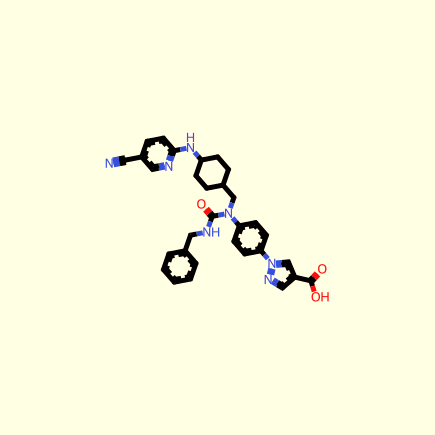 N#Cc1ccc(NC2CCC(CN(C(=O)NCc3ccccc3)c3ccc(-n4cc(C(=O)O)cn4)cc3)CC2)nc1